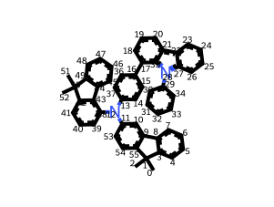 CC1(C)c2ccccc2-c2cc(N(c3ccc(-c4cccc5c6ccccc6n(-c6ccccc6)c45)cc3)c3cccc4c3-c3ccccc3C4(C)C)ccc21